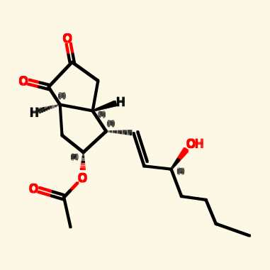 CCCC[C@H](O)C=C[C@H]1[C@H]2CC(=O)C(=O)[C@@H]2C[C@H]1OC(C)=O